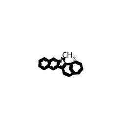 Cn1c2c(c3cc4ccccc4cc31)C=CC1=C=C2C=CC=C1